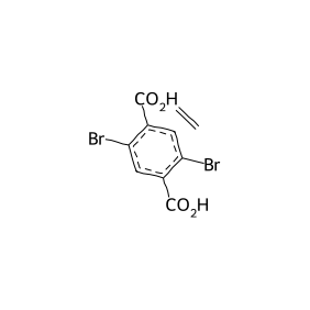 C=C.O=C(O)c1cc(Br)c(C(=O)O)cc1Br